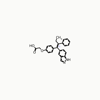 CC/C(=C(\c1ccc(OCC(=O)O)cc1)c1ccc2[nH]ncc2c1)c1ccccc1